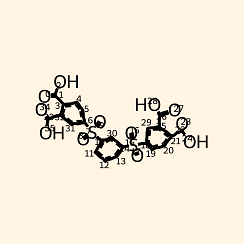 O=C(O)c1ccc(S(=O)(=O)c2cccc(S(=O)(=O)c3ccc(C(=O)O)c(C(=O)O)c3)c2)cc1C(=O)O